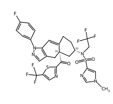 Cn1cnc(S(=O)(=O)N(CC(F)(F)F)[C@H]2CCC3=Cc4c(cnn4-c4ccc(F)cc4)C[C@]3(C(=O)c3ncc(C(F)(F)F)s3)C2)c1